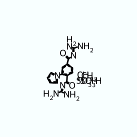 CS(=O)(=O)O.CS(=O)(=O)O.NC(N)=NC(=O)c1ccc(C(=O)N=C(N)N)c(-n2cccc2)c1